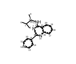 CC(C)[C@@H](C)Nc1nc(-c2ccncc2)nc2ccccc12